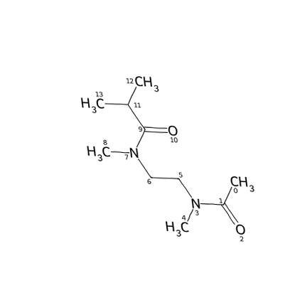 CC(=O)N(C)CCN(C)C(=O)C(C)C